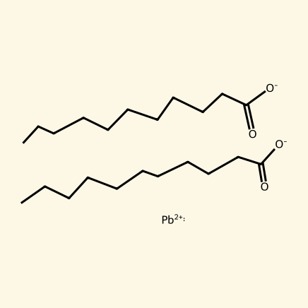 CCCCCCCCCCC(=O)[O-].CCCCCCCCCCC(=O)[O-].[Pb+2]